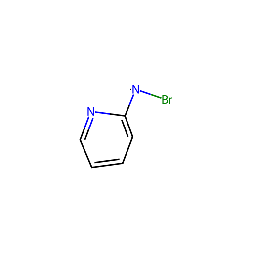 Br[N]c1ccccn1